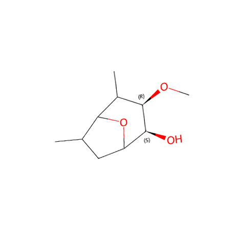 CO[C@@H]1C(C)C2OC(CC2C)[C@@H]1O